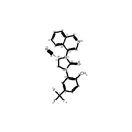 Cc1ccc(C(F)(F)F)cc1N1C[C@H](C#N)N(c2cncc3ccccc23)C1=O